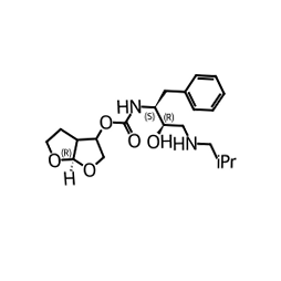 CC(C)CNC[C@@H](O)[C@H](Cc1ccccc1)NC(=O)OC1CO[C@H]2OCCC12